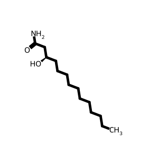 CCCCCCCCCCC[C@@H](O)CC(N)=O